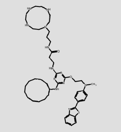 CN(CCOc1nc(NCCC(=O)NCCCN2CCNCCNCCNCC2)nc(NC2CCCCCCCCCCC2)n1)c1ccc(-c2nc3ccccc3s2)cc1